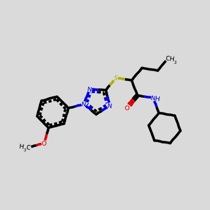 CCCC(Sc1ncn(-c2cccc(OC)c2)n1)C(=O)NC1CCCCC1